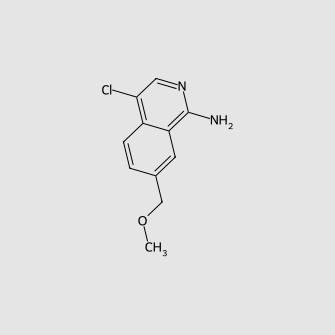 COCc1ccc2c(Cl)cnc(N)c2c1